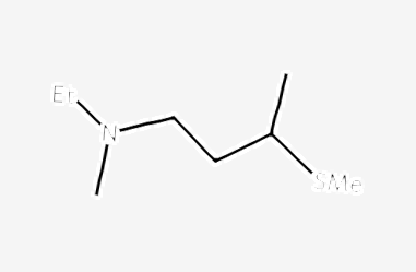 CCN(C)CCC(C)SC